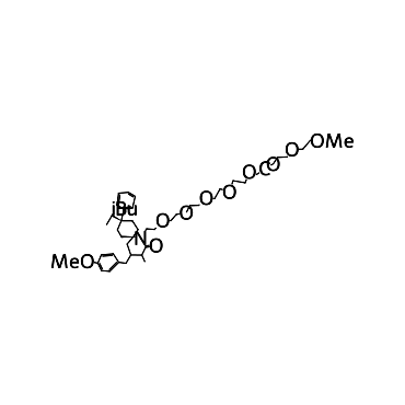 CCC(C)C(C)[C@]1(c2ccccc2)CC[C@]2(CC1)CC(Cc1ccc(OC)cc1)C(C)C(=O)N2CCOCCOCCOCCOCCOCCOCCOCCOC